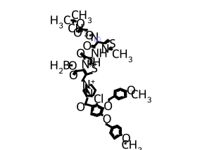 BOC(=O)C1=C(C[N+]23CCC(CC2)N(C(=O)c2ccc(OCc4ccc(OC)cc4)c(OCc4ccc(OC)cc4)c2Cl)CC3)CS[C@@H]2[C@H](NC(=O)/C(=N\OCC(=O)OC(C)(C)C)c3csc(C)n3)C(=O)N12